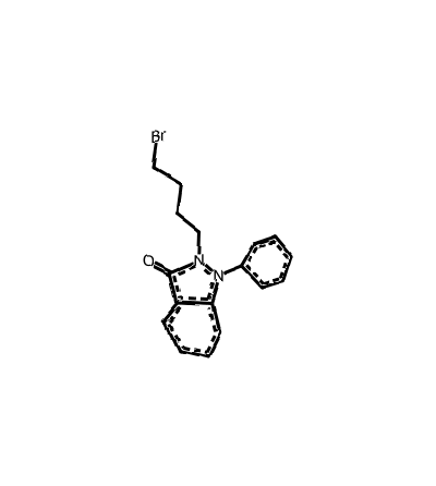 O=c1c2ccccc2n(-c2ccccc2)n1CCCCBr